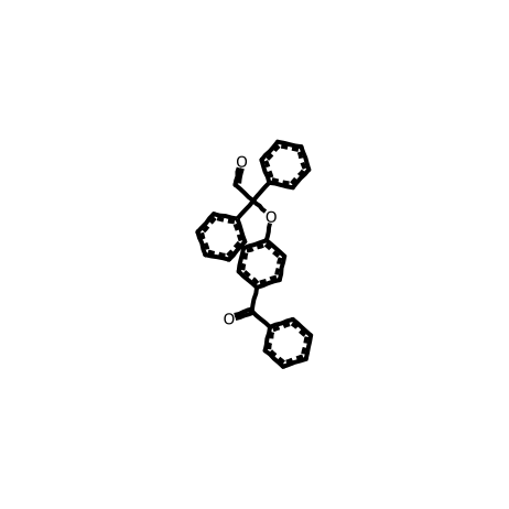 O=CC(Oc1ccc(C(=O)c2ccccc2)cc1)(c1ccccc1)c1ccccc1